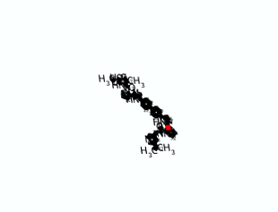 COC(=O)N[C@H](C(=O)N1CCC[C@H]1c1ncc(-c2ccc(-c3ccc(-c4cnc(C5C6CCC(C6)[C@@H]5C(=O)NCc5cncc(C(C)C)c5)[nH]4)cc3)cc2)[nH]1)C(C)C